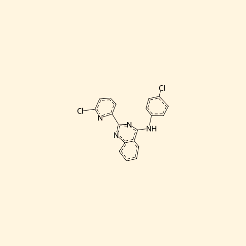 Clc1ccc(Nc2nc(-c3cccc(Cl)n3)nc3ccccc23)cc1